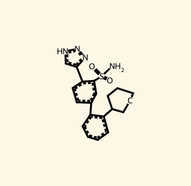 NS(=O)(=O)c1cc(-c2ccccc2C2CCCCC2)ccc1-c1c[nH]nn1